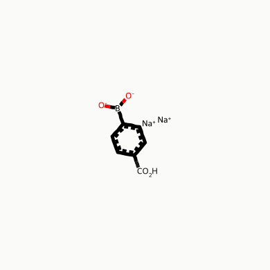 O=C(O)c1ccc(B([O-])[O-])cc1.[Na+].[Na+]